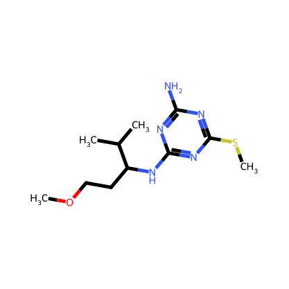 COCCC(Nc1nc(N)nc(SC)n1)C(C)C